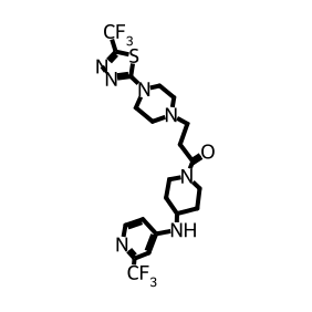 O=C(CCN1CCN(c2nnc(C(F)(F)F)s2)CC1)N1CCC(Nc2ccnc(C(F)(F)F)c2)CC1